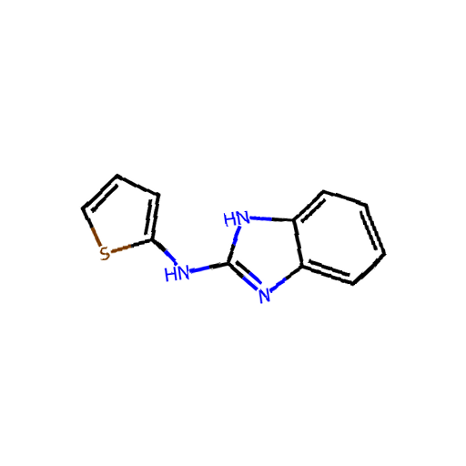 c1csc(Nc2nc3ccccc3[nH]2)c1